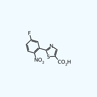 O=C(O)c1cnc(-c2cc(F)ccc2[N+](=O)[O-])s1